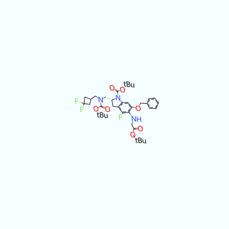 CC(C)(C)OC(=O)CNc1c(OCc2ccccc2)cc2c(c1F)C[C@H](CN(CC1CC(F)(F)C1)C(=O)OC(C)(C)C)N2C(=O)OC(C)(C)C